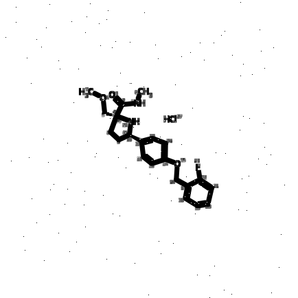 CNC(=O)[C@]1(COC)CC[C@H](c2ccc(OCc3ccccc3F)cc2)N1.Cl